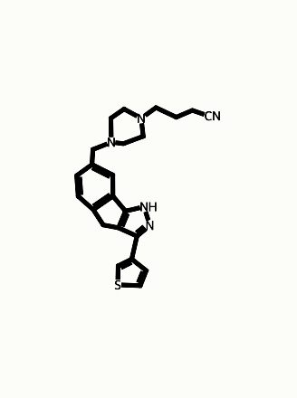 N#CCCCN1CCN(Cc2ccc3c(c2)-c2[nH]nc(-c4ccsc4)c2C3)CC1